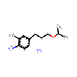 Cc1cc(CCCOC(C)C)ccc1N.N